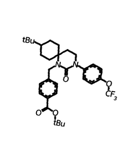 CC(C)(C)OC(=O)c1ccc(CN2C(=O)N(c3ccc(OC(F)(F)F)cc3)CCC23CCC(C(C)(C)C)CC3)cc1